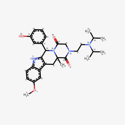 COc1ccc2[nH]c3c(c2c1)CC1(C)C(=O)N(CCN(C(C)C)C(C)C)CC(=O)N1C3c1cccc(O)c1